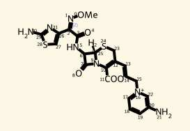 CO/N=C(\C(=O)NC1C(=O)N2C(C(=O)[O-])=C(C=CC[n+]3cccc(N)c3)CS[C@@H]12)c1csc(N)n1